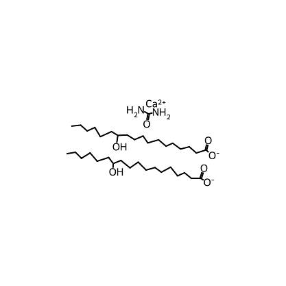 CCCCCCC(O)CCCCCCCCCCC(=O)[O-].CCCCCCC(O)CCCCCCCCCCC(=O)[O-].NC(N)=O.[Ca+2]